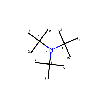 CC(C)(C)[N+](C(C)(C)C)C(C)(C)C